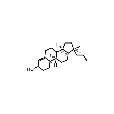 C/C=C/[C@@]1(C)CC[C@H]2C3CCC4=CC(O)CC[C@]4(C)[C@H]3CC[C@@]21C